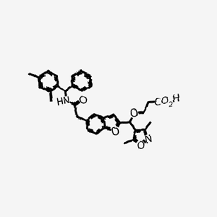 Cc1ccc(C(NC(=O)Cc2ccc3oc(C(OCCC(=O)O)c4c(C)noc4C)cc3c2)c2ccccc2)c(C)c1